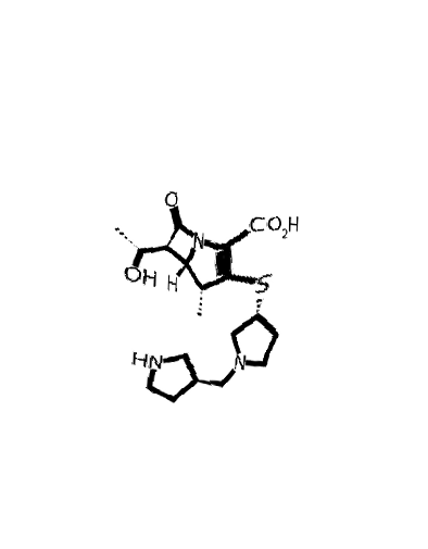 C[C@@H](O)[C@H]1C(=O)N2C(C(=O)O)=C(S[C@@H]3CCN(C[C@H]4CCNC4)C3)[C@H](C)[C@H]12